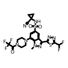 Cn1nc(-c2nnc(C(F)F)s2)c2cc(S(=O)(=O)NC3(C#N)CC3)cc(N3CCN(C(=O)C(F)(F)F)CC3)c21